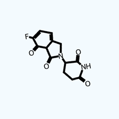 O=C1CCC(N2CC3=CC=C(F)C(=O)C3C2=O)C(=O)N1